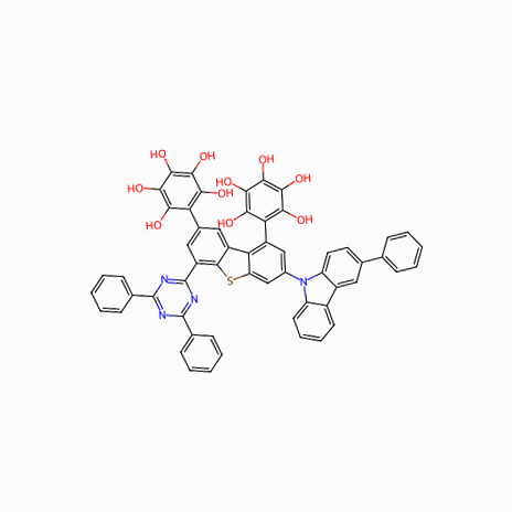 Oc1c(O)c(O)c(-c2cc(-c3nc(-c4ccccc4)nc(-c4ccccc4)n3)c3sc4cc(-n5c6ccccc6c6cc(-c7ccccc7)ccc65)cc(-c5c(O)c(O)c(O)c(O)c5O)c4c3c2)c(O)c1O